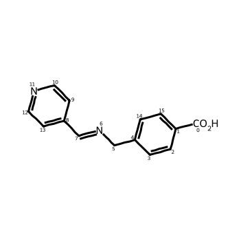 O=C(O)c1ccc(CN=Cc2ccncc2)cc1